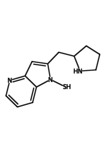 Sn1c(CC2CCCN2)cc2ncccc21